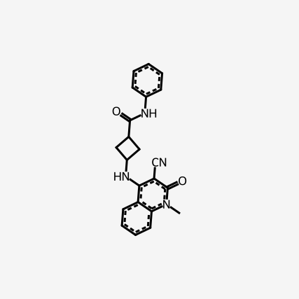 Cn1c(=O)c(C#N)c(NC2CC(C(=O)Nc3ccccc3)C2)c2ccccc21